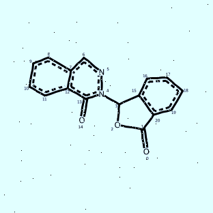 O=C1OC(n2ncc3ccccc3c2=O)c2ccccc21